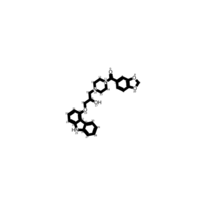 O=C(c1ccc2c(c1)OCO2)N1CCN(CC(O)COc2cccc3[nH]c4ccccc4c23)CC1